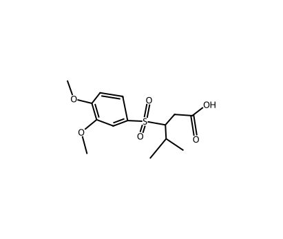 COc1ccc(S(=O)(=O)C(CC(=O)O)C(C)C)cc1OC